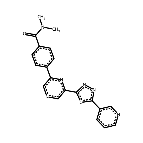 CN(C)C(=O)c1ccc(-c2cncc(-c3nnc(-c4cccnc4)o3)n2)cc1